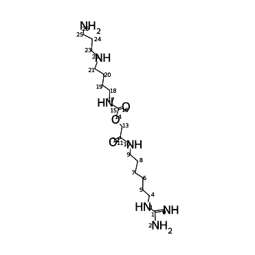 N=C(N)NCCCCCCNC(=O)COC(=O)NCCCCNCCCN